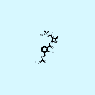 C[C@@H](O[Si](C)(C)C(C)(C)C)[C@H]1C(=O)N[C@@H]1CC(=O)c1cccc(COC(N)=O)c1C(C)(C)C